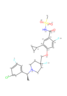 C[C@@H](c1cc(F)cc(Cl)c1)N1CCC(F)(COc2cc(F)c(C(=O)NS(C)(=O)=O)cc2C2CC2)CC1